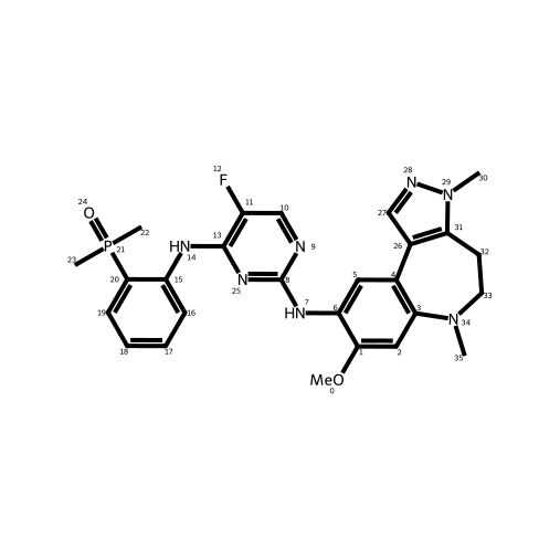 COc1cc2c(cc1Nc1ncc(F)c(Nc3ccccc3P(C)(C)=O)n1)-c1cnn(C)c1CCN2C